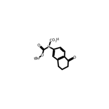 CC(C)(C)OC(=O)N(C(=O)O)c1ccc2c(c1)CCCC2=O